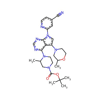 CC1CN(c2cn(-c3cc(C#N)ccn3)c3ncnc(N4CCN(C(=O)OC(C)(C)C)CC4C)c23)CCO1